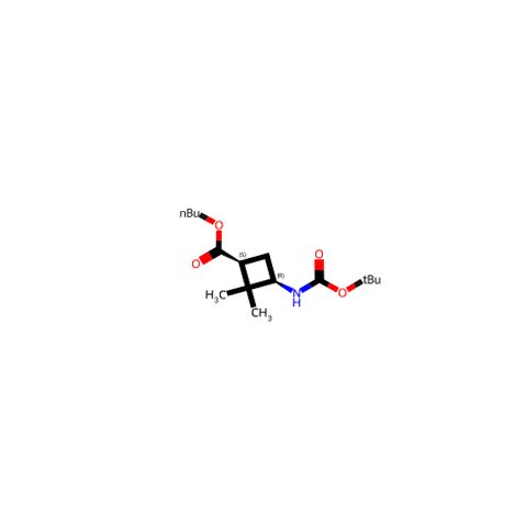 CCCCOC(=O)[C@H]1C[C@@H](NC(=O)OC(C)(C)C)C1(C)C